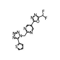 FC(F)c1nnc(-c2cnc(Cn3nnnc3-c3cccs3)nc2)o1